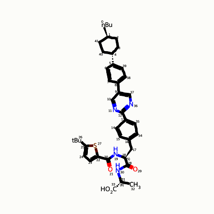 CCCC[C@H]1CC[C@H](c2ccc(-c3cnc(-c4ccc(C[C@H](NC(=O)c5ccc(C(C)(C)C)s5)C(=O)N[C@H](C)C(=O)O)cc4)nc3)cc2)CC1